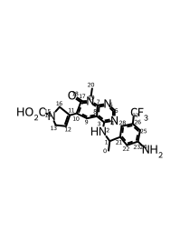 CC(Nc1ncnc2c1cc(C1=CCN(C(=O)O)C1)c(=O)n2C)c1cc(N)cc(C(F)(F)F)c1